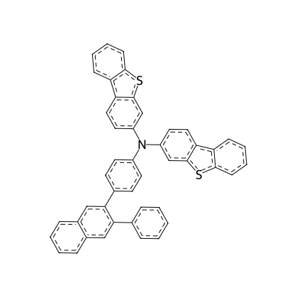 c1ccc(-c2cc3ccccc3cc2-c2ccc(N(c3ccc4c(c3)sc3ccccc34)c3ccc4c(c3)sc3ccccc34)cc2)cc1